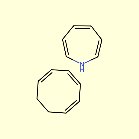 C1=CC=CCCC=C1.C1=CC=CNC=C1